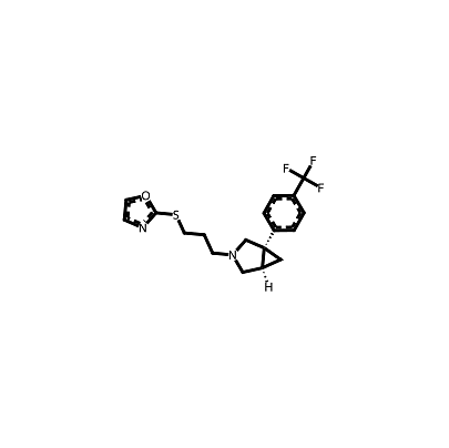 FC(F)(F)c1ccc([C@]23C[C@H]2CN(CCCSc2ncco2)C3)cc1